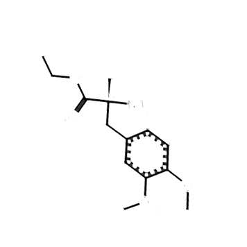 CCOC(=O)[C@](C)(N)Cc1ccc(OC)c(OC)c1